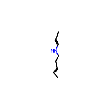 C/C=C/CCN/C=C/C